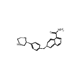 NC(=O)c1cccc2c1=C=CC(Cc1ccc([C@@H]3CCCNC3)cc1)C=2